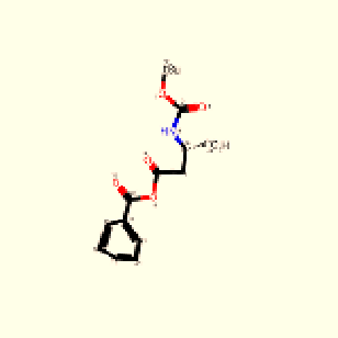 CC(C)(C)OC(=O)N[C@@H](CC(=O)OC(=O)c1ccccc1)C(=O)O